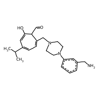 CC(C)C1=CC=C(CN2CCN(c3cccc(CN)c3)CC2)C(C=O)C(O)=C1